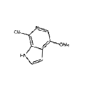 [C-]#[N+]c1ncc(OC)c2cc[nH]c12